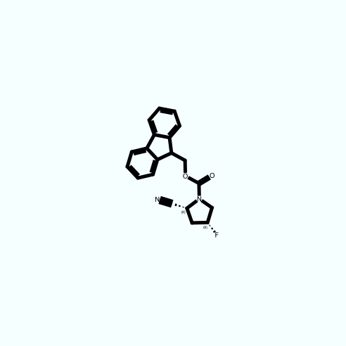 N#C[C@H]1C[C@@H](F)CN1C(=O)OCC1c2ccccc2-c2ccccc21